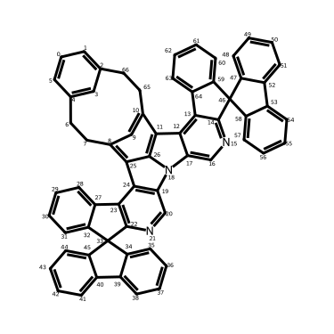 c1cc2cc(c1)CCc1cc(c3c4c5c(ncc4n4c6cnc7c(c6c1c34)-c1ccccc1C71c3ccccc3-c3ccccc31)C1(c3ccccc3-c3ccccc31)c1ccccc1-5)CC2